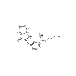 CCCCCC(O)c1cccc(Cn2[nH]c3ccccc3c2=O)c1